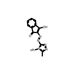 CCCn1c(C)nnc1N=NC1=C(O)c2ccccc2C1=O